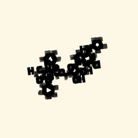 C[C@H](NP(=O)(COC[C@H]1O[C@@H](n2ccc3c(NC4CCCC4)nc(Cl)nc32)[C@H](O)[C@@H]1O)Oc1ccccc1)C(=O)Oc1ccccc1